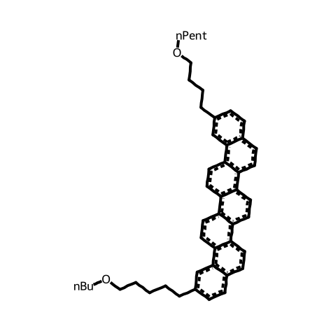 CCCCCOCCCCc1ccc2ccc3c(ccc4c3ccc3c5ccc6ccc(CCCCCOCCCC)cc6c5ccc34)c2c1